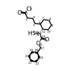 O=C(Cl)CCCC1CCCC[C@@H]1N(S)C(=O)OCc1ccccc1